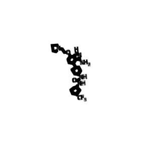 Nc1n[nH]c2c(OCCN3CCCC3)ccc(-c3ccc(NC(=O)Nc4cccc(C(F)(F)F)c4)cc3)c12